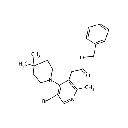 Cc1ncc(Br)c(N2CCC(C)(C)CC2)c1CC(=O)OCc1ccccc1